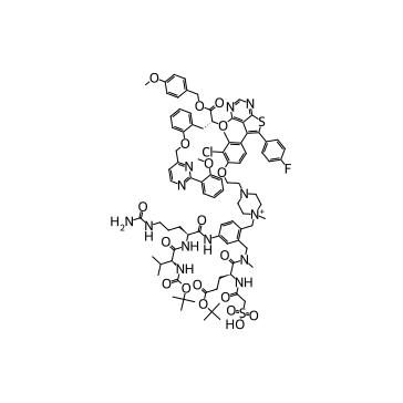 COc1ccc(COC(=O)[C@@H](Cc2ccccc2OCc2ccnc(-c3ccccc3OC)n2)Oc2ncnc3sc(-c4ccc(F)cc4)c(-c4ccc(OCCN5CC[N+](C)(Cc6ccc(NC(=O)[C@H](CCCNC(N)=O)NC(=O)[C@@H](NC(=O)OC(C)(C)C)C(C)C)cc6CN(C)C(=O)[C@H](CCC(=O)OC(C)(C)C)NC(=O)CS(=O)(=O)O)CC5)c(Cl)c4C)c23)cc1